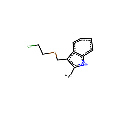 Cc1[nH]c2ccccc2c1CSCCCl